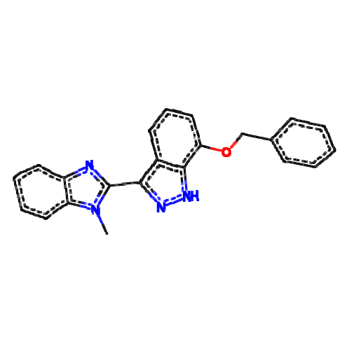 Cn1c(-c2n[nH]c3c(OCc4ccccc4)cccc23)nc2ccccc21